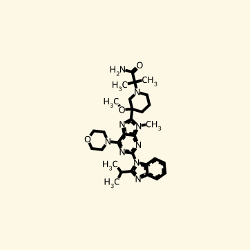 COC1(c2nc3c(N4CCOCC4)nc(-n4c(C(C)C)nc5ccccc54)nc3n2C)CCCN(C(C)(C)C(N)=O)C1